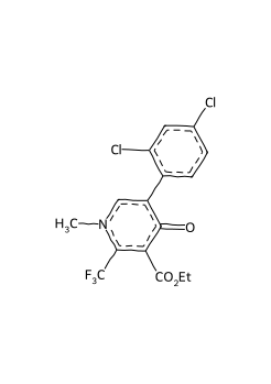 CCOC(=O)c1c(C(F)(F)F)n(C)cc(-c2ccc(Cl)cc2Cl)c1=O